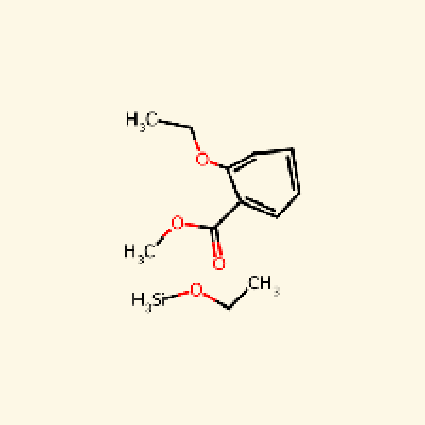 CCO[SiH3].CCOc1ccccc1C(=O)OC